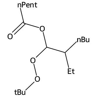 CCCCCC(=O)OC(OOC(C)(C)C)C(CC)CCCC